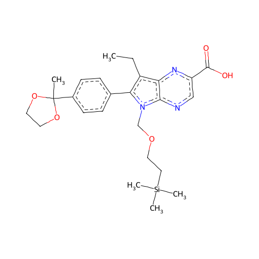 CCc1c(-c2ccc(C3(C)OCCO3)cc2)n(COCC[Si](C)(C)C)c2ncc(C(=O)O)nc12